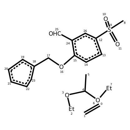 C=C.CCOC(C)OCC.CS(=O)(=O)c1ccc(OCc2ccccc2)c(C=O)c1